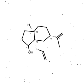 C=CC[C@@]12C[C@@H](C(=C)C)CC[C@@H]1COC2O